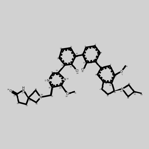 COc1cc(-c2cccc(-c3cccc(-c4cnc(CN5CC6(CCC(=O)N6)C5)c(OC)n4)c3Cl)c2Cl)cc2c1[C@@H](N1CC(C)C1)CC2